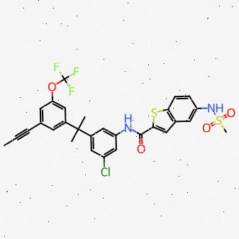 CC#Cc1cc(OC(F)(F)F)cc(C(C)(C)c2cc(Cl)cc(NC(=O)c3cc4cc(NS(C)(=O)=O)ccc4s3)c2)c1